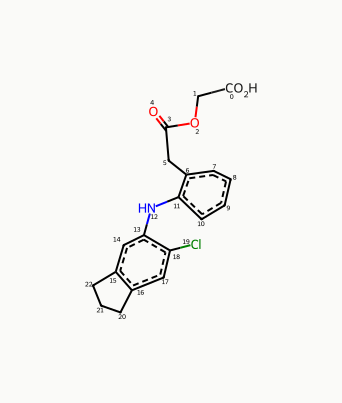 O=C(O)COC(=O)Cc1ccccc1Nc1cc2c(cc1Cl)CCC2